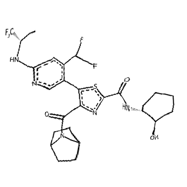 C[C@H](Nc1cc(C(F)F)c(-c2sc(C(=O)N[C@@H]3CCC[C@H]3O)nc2C(=O)N2C3CCC2CC3)cn1)C(F)(F)F